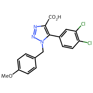 COc1ccc(Cn2nnc(C(=O)O)c2-c2ccc(Cl)c(Cl)c2)cc1